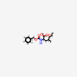 CCCC(C)CC(NC(=O)OCc1ccccc1)C(=O)O